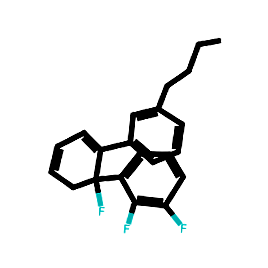 CCCCc1cccc(C2=CC=CCC2(F)c2cccc(F)c2F)c1